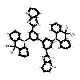 CC1(C)c2ccccc2N(c2cc(-c3cc(-c4nc5cccnc5o4)cc(N4c5ccccc5C(C)(C)c5ccccc54)c3)cc(-c3nc4cccnc4o3)c2)c2ccccc21